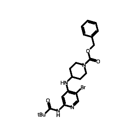 CC(C)(C)C(=O)Nc1cc(NC2CCN(C(=O)OCc3ccccc3)CC2)c(Br)cn1